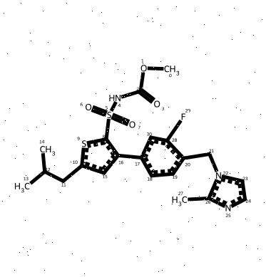 COC(=O)NS(=O)(=O)c1sc(CC(C)C)cc1-c1ccc(Cn2ccnc2C)c(F)c1